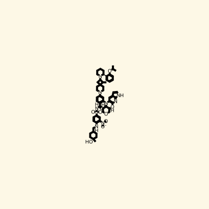 CC(C)Oc1ccccc1[C@@H]1CCCCN1C1CC2(CCN(c3ccc(C(=O)NS(=O)(=O)c4ccc(NCC5CCC(C)(O)CC5)c([N+](=O)[O-])c4)c(N4c5cc6cc[nH]c6nc5O[C@H]5COCC[C@@H]54)c3)CC2)C1C